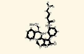 COC[C@@H](Nc1ncnc2sc(Cl)c(-c3cccc(NC(=O)/C=C/CN(C)C)c3)c12)c1ccccc1